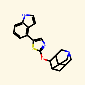 c1cc(-c2cnc(OC3C4CC5CC3CN(C5)C4)s2)c2cc[nH]c2c1